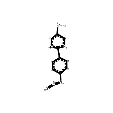 CCCCCc1cnc(-c2ccc(N=C=S)cc2)nc1